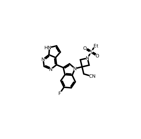 CCS(=O)(=O)N1CC(CC#N)(n2cc(-c3ncnc4[nH]ccc34)c3cc(F)ccc32)C1